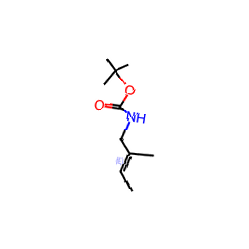 C/C=C(\C)CNC(=O)OC(C)(C)C